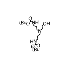 CC(C)(C)OC(=O)NCCCN(CCO)CCCNC(=O)OC(C)(C)C